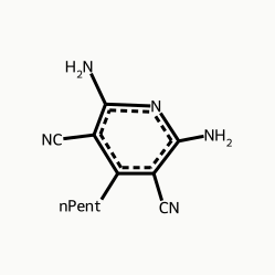 CCCCCc1c(C#N)c(N)nc(N)c1C#N